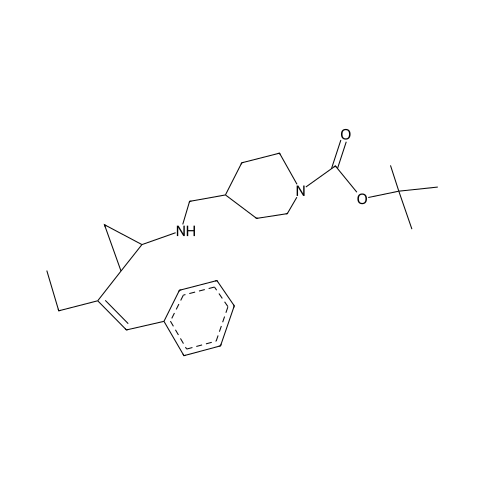 CCC(=Cc1ccccc1)C1CC1NCC1CCN(C(=O)OC(C)(C)C)CC1